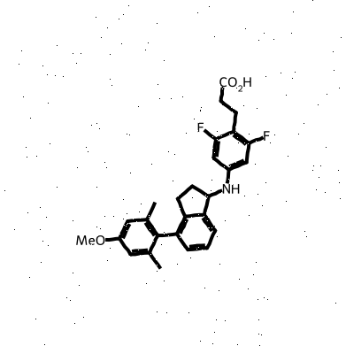 COc1cc(C)c(-c2cccc3c2CCC3Nc2cc(F)c(CCC(=O)O)c(F)c2)c(C)c1